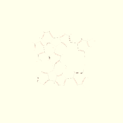 N#Cc1cc(C(F)(F)F)ccc1-c1cc(-n2c3ccccc3c3ccc(-c4cc(C(F)(F)F)cc(C(F)(F)F)c4)cc32)c(C#N)cc1-n1c2ccccc2c2ccc(-c3cc(C(F)(F)F)cc(C(F)(F)F)c3)cc21